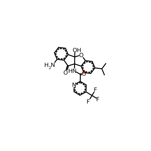 CC(C)c1ccc2c(c1)OC1(O)c3cccc(N)c3C(=O)C21NC(=O)c1cc(C(F)(F)F)ccn1